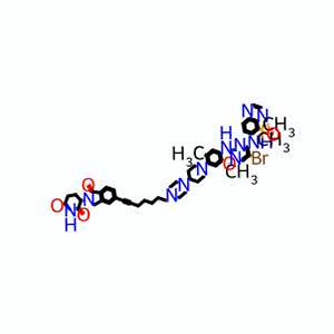 COc1cc(N2CCC(N3CCN(CCCCCC#Cc4ccc5c(c4)CN(C4CCC(=O)NC4=O)C5=O)CC3)CC2)c(C)cc1Nc1ncc(Br)c(Nc2ccc3nccnc3c2P(C)(C)=O)n1